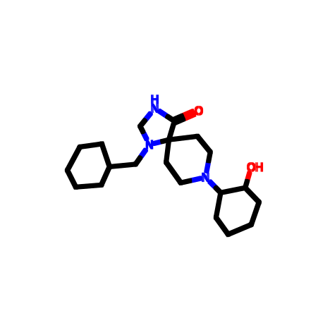 O=C1NCN(CC2CCCCC2)C12CCN(C1CCCCC1O)CC2